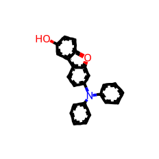 Oc1ccc2oc3cc(N(c4ccccc4)c4ccccc4)ccc3c2c1